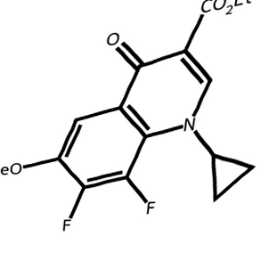 CCOC(=O)c1cn(C2CC2)c2c(F)c(F)c(OC)cc2c1=O